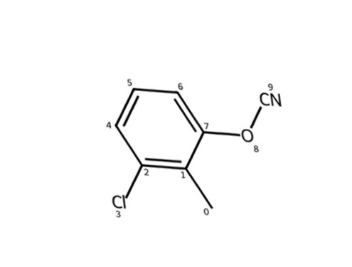 Cc1c(Cl)cccc1OC#N